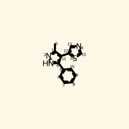 Cc1n[nH]c(-c2ccccc2)c1-c1cncs1